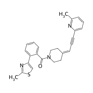 Cc1cccc(C#CC=C2CCN(C(=O)c3ccccc3-c3csc(C)n3)CC2)n1